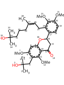 CCC(C)(O)Cc1c(OC)cc2c(c1OC)C(=O)CC(c1ccc(OC)c(OC)c1CC=C(C)CCCC(C)(C)O)O2